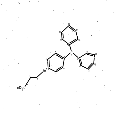 CCCCCCCCCCCCBr.c1ccc(P(c2ccccc2)c2ccccc2)cc1